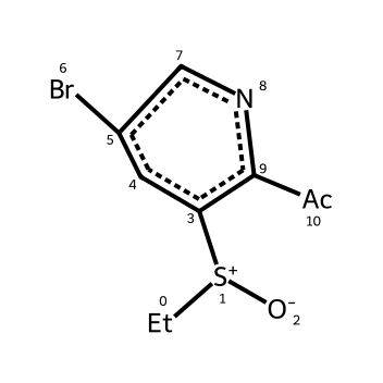 CC[S+]([O-])c1cc(Br)cnc1C(C)=O